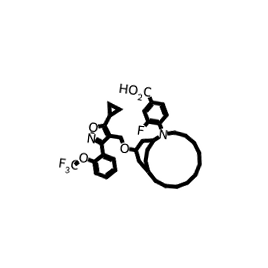 O=C(O)c1ccc(N2CCCCCCCCCCC3CCC2CC(OCc2c(-c4ccccc4OC(F)(F)F)noc2C2CC2)C3)c(F)c1